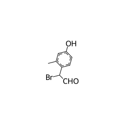 Cc1cc(O)ccc1C(Br)C=O